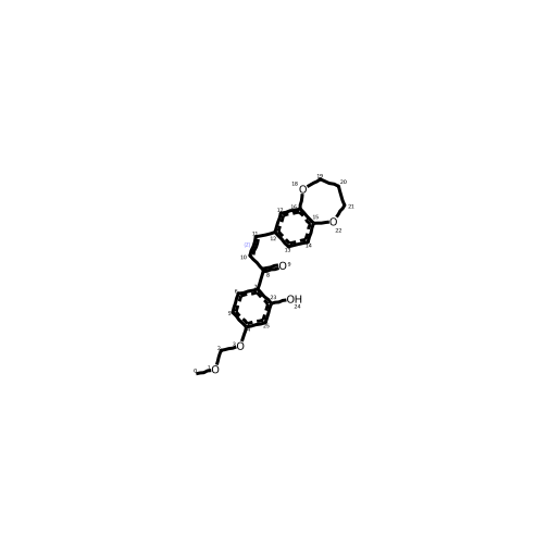 COCOc1ccc(C(=O)/C=C\c2ccc3c(c2)OCCCO3)c(O)c1